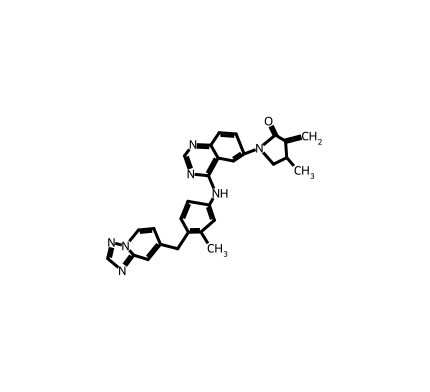 C=C1C(=O)N(c2ccc3ncnc(Nc4ccc(Cc5ccn6ncnc6c5)c(C)c4)c3c2)CC1C